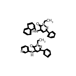 CCn1nc(-c2ccccc2)cc(Nc2cccc3ccccc23)c1=O.CCn1nc(-c2ccccc2)cc(Nc2cccnc2)c1=O